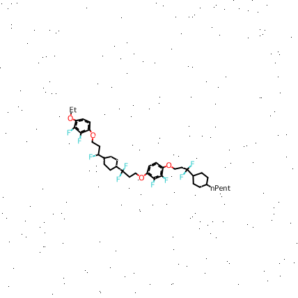 CCCCCC1CCC(C(F)(F)CCOc2ccc(OCCC(F)(F)C3CCC(C(F)CCOc4ccc(OCC)c(F)c4F)CC3)c(F)c2F)CC1